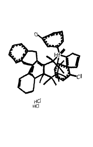 Cl.Cl.[CH2]=[Hf]([C]1=CC=CC1)([c]1cccc(Cl)c1)([c]1cccc(Cl)c1)[C]1(C)C2=C3Cc4ccccc4C3=C3C=CCCC3C2(C)C(C)(C)C(C)(C)C1(C)C